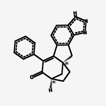 O=C1C(c2ccccc2)=C2c3ccc4[nH]nnc4c3C[C@@]23CC[C@@H]1C3